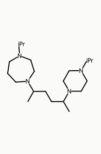 CC(C)N1CCCN(C(C)CCC(C)N2CCN(C(C)C)CC2)CC1